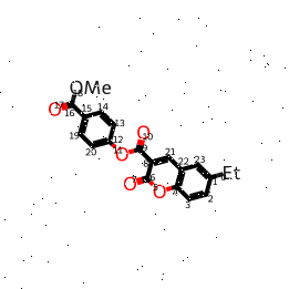 CCc1ccc2oc(=O)c(C(=O)Oc3ccc(C(=O)OC)cc3)cc2c1